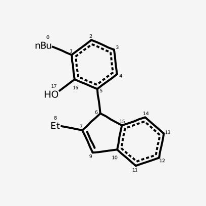 CCCCc1cccc(C2C(CC)=Cc3ccccc32)c1O